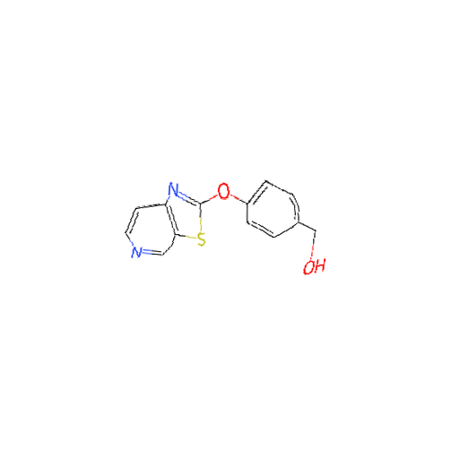 OCc1ccc(Oc2nc3ccncc3s2)cc1